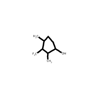 CC1CCC(O)C(C)C1C(F)(F)F